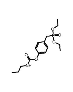 CCCNC(=O)Oc1ccc(CP(=O)(OCC)OCC)cc1